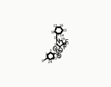 Cc1ccc(S(=O)(=O)OC2CN(Cc3ccccc3)CC2(F)F)cc1